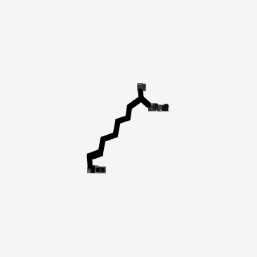 [CH2]CCCCC/C=C/CCCCCC(CC)CCCC[CH2]